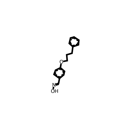 ON=Cc1ccc(OCCCc2ccccc2)cc1